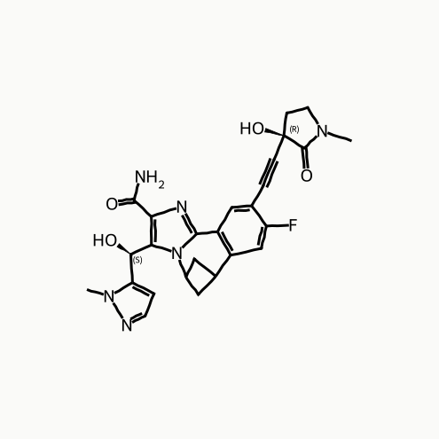 CN1CC[C@@](O)(C#Cc2cc3c(cc2F)C2CC(C2)n2c-3nc(C(N)=O)c2[C@H](O)c2ccnn2C)C1=O